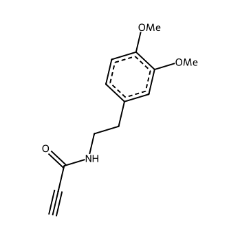 C#CC(=O)NCCc1ccc(OC)c(OC)c1